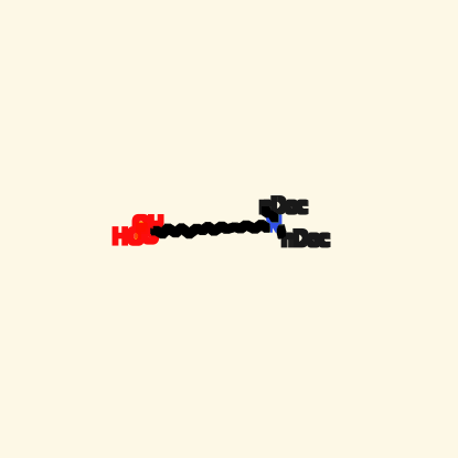 CCCCCCCCCCCCN(CCCCCCCCCCCC)CCCCCCCCCCCCCCCCCCOP(O)O